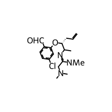 C=CC[C@@H](Oc1cc(Cl)ccc1C=O)C(C)/N=C(/CN(C)C)NC